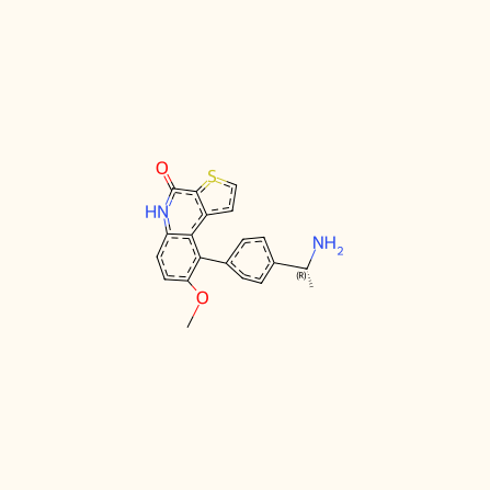 COc1ccc2[nH]c(=O)c3sccc3c2c1-c1ccc([C@@H](C)N)cc1